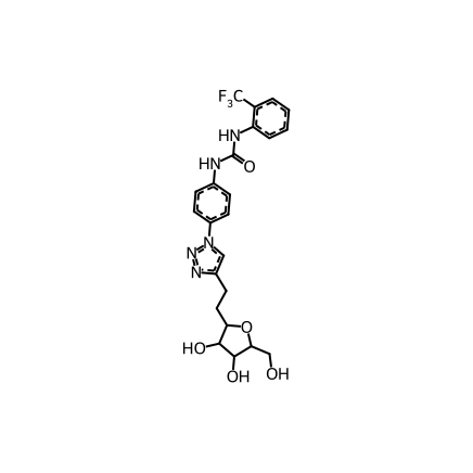 O=C(Nc1ccc(-n2cc(CCC3OC(CO)C(O)C3O)nn2)cc1)Nc1ccccc1C(F)(F)F